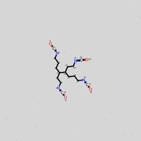 O=C=NCCCC(CCN=C=O)C(CCCN=C=O)CCN=C=O